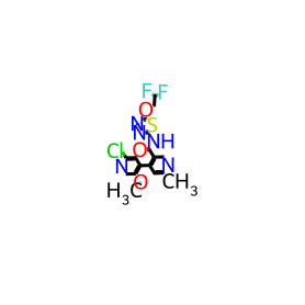 COc1cnc(Cl)cc1-c1cc(C)ncc1C(=O)Nc1nnc(OCC(F)F)s1